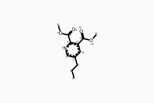 CCCc1cnc(C(=O)OC)c(C(=O)OC)c1